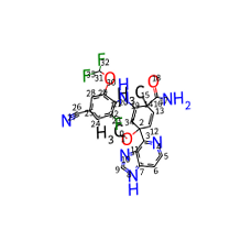 COC1(c2nccc3[nH]cnc23)C=CC(C)(C(N)=O)C(Nc2c(F)cc(C#N)cc2OC(F)F)=C1